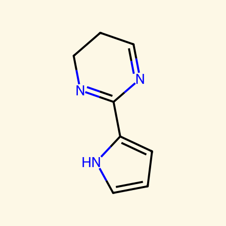 C1=NC(c2ccc[nH]2)=NCC1